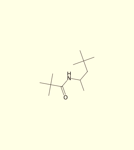 CC(CC(C)(C)C)NC(=O)C(C)(C)C